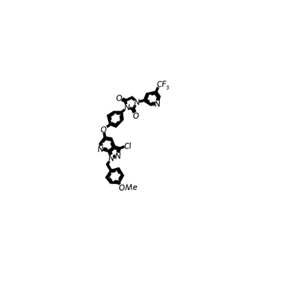 COc1ccc(Cn2nc(Cl)c3cc(Oc4ccc(N5C(=O)CN(c6cncc(C(F)(F)F)c6)C5=O)cc4)cnc32)cc1